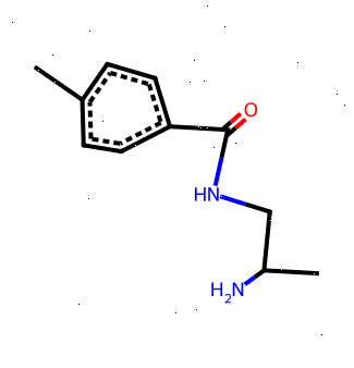 Cc1ccc(C(=O)NCC(C)N)cc1